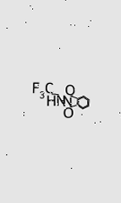 O=C1c2ccccc2C(=O)N1NCCC(F)(F)F